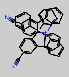 N#Cc1ccc([Si](c2ccccc2)(c2ccccc2)c2ccccc2)c(-c2ccccc2-n2c3ccccc3c3cc(C#N)ccc32)c1